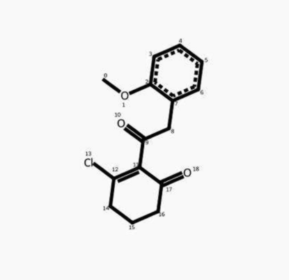 COc1ccccc1CC(=O)C1=C(Cl)CCCC1=O